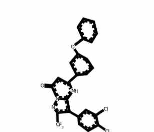 O=c1cc(-c2cccc(Oc3ccccc3)c2)[nH]c2c(-c3ccc(Cl)c(Cl)c3)c(C(F)(F)F)nn12